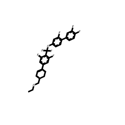 CCOCC1CC=C(c2cc(F)c(C(F)(F)Oc3ccc(-c4ccc(F)c(F)c4)c(F)c3)c(F)c2)CC1